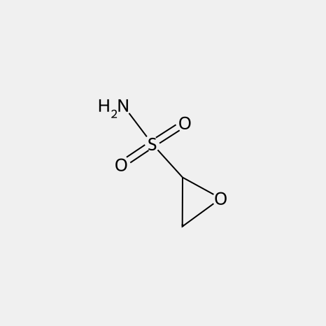 NS(=O)(=O)C1CO1